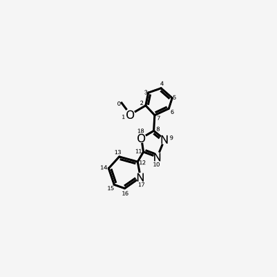 COc1ccccc1-c1nnc(-c2ccccn2)o1